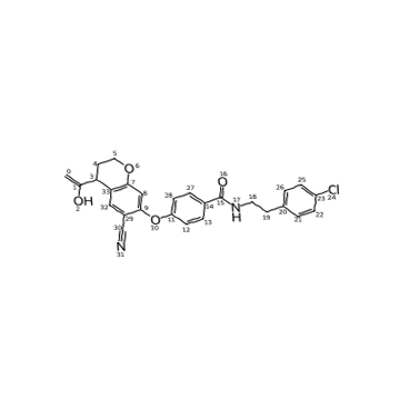 C=C(O)C1CCOc2cc(Oc3ccc(C(=O)NCCc4ccc(Cl)cc4)cc3)c(C#N)cc21